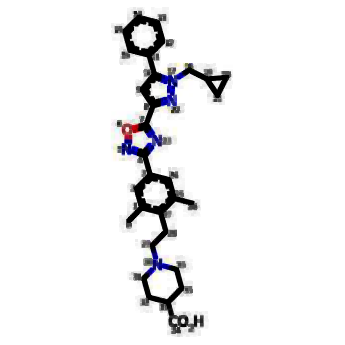 Cc1cc(-c2noc(-c3cc(-c4ccccc4)n(CC4CC4)n3)n2)cc(C)c1CCN1CCC(C(=O)O)CC1